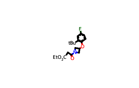 CCOC(=O)CC(=O)N1CC(Oc2ccc(F)cc2C(C)(C)C)C1